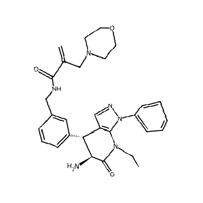 C=C(CN1CCOCC1)C(=O)NCc1cccc([C@@H]2c3cnn(-c4ccccc4)c3N(CC)C(=O)[C@H]2N)c1